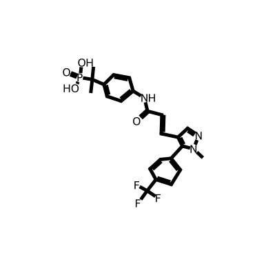 Cn1ncc(/C=C/C(=O)Nc2ccc(C(C)(C)P(=O)(O)O)cc2)c1-c1ccc(C(F)(F)F)cc1